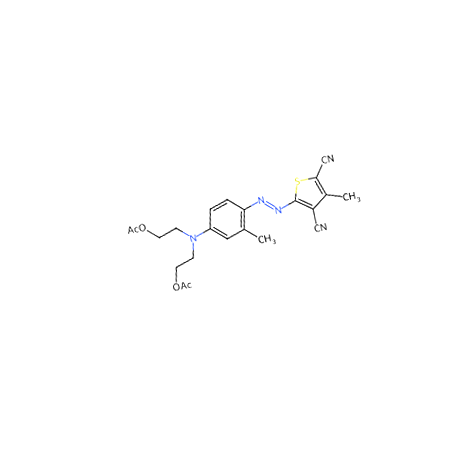 CC(=O)OCCN(CCOC(C)=O)c1ccc(N=Nc2sc(C#N)c(C)c2C#N)c(C)c1